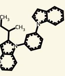 CCC(C)c1cc2ccccc2n1-c1cccc(-n2ccc3ccccc32)c1